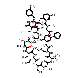 CC(=O)CSC[C@H](NC(=O)[C@@H](NC(=O)[C@@H](NC(=O)[C@H](CC(C)C)NC(=O)[C@H](CCN)NC(=O)[C@@H](CC(C)C)NC(=O)[C@H](C)N(C)C(=O)[C@@H](NC(=O)[C@H](Cc1ccc(-c2ccccc2)cc1)NC(=O)[C@@H](NC(=O)[C@H](Cc1cccc(C)c1)NC(=O)[C@H](CC(=O)O)NC(=O)[C@H](Cc1ccc(O)cc1)NC(=O)[C@@H](C)CC(N)=O)C(C)C)C(C)C)C(C)C)[C@@H](C)O)C(N)=O